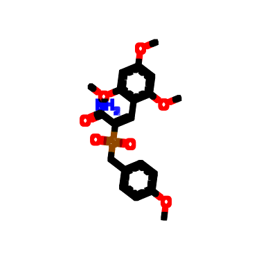 COc1ccc(CS(=O)(=O)C(=Cc2c(OC)cc(OC)cc2OC)C(N)=O)cc1